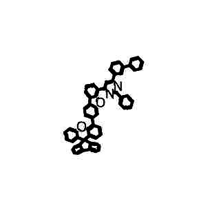 c1ccc(-c2cccc(-c3cc(-c4cccc5c4oc4cc(-c6cccc7c6Oc6ccccc6C76c7ccccc7-c7ccccc76)ccc45)nc(-c4ccccc4)n3)c2)cc1